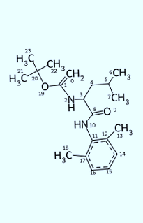 C=C(NC(CC(C)C)C(=O)Nc1c(C)cccc1C)OC(C)(C)C